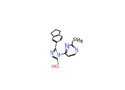 CSc1nccc(-n2c(CO)cnc2-c2ccc3c(c2)CCC3)n1